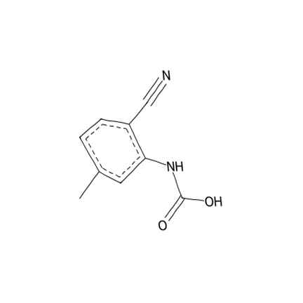 Cc1ccc(C#N)c(NC(=O)O)c1